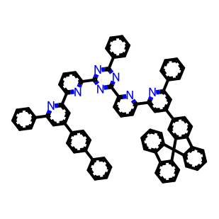 c1ccc(-c2ccc(-c3cc(-c4ccccc4)nc(-c4cccc(-c5nc(-c6ccccc6)nc(-c6cccc(-c7cc(-c8ccc9c(c8)C8(c%10ccccc%10-c%10ccccc%108)c8ccccc8-9)cc(-c8ccccc8)n7)n6)n5)n4)c3)cc2)cc1